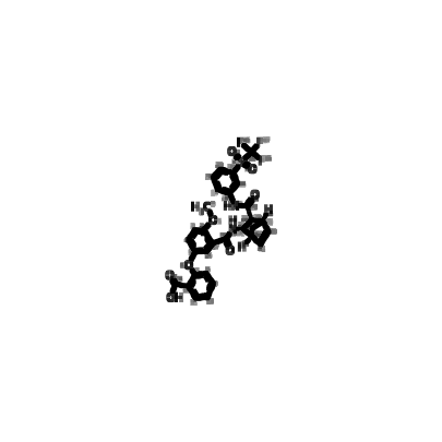 COc1ccc(Oc2ccccc2C(=O)O)cc1C(=O)N[C@H]1[C@@H](C(=O)Nc2cccc(S(=O)(=O)C(F)(F)F)c2)[C@@H]2C=C[C@H]1C2